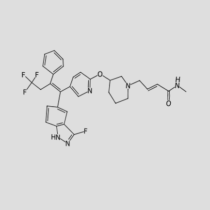 CNC(=O)/C=C/CN1CCCC(Oc2ccc(/C(=C(/CC(F)(F)F)c3ccccc3)c3ccc4[nH]nc(F)c4c3)cn2)C1